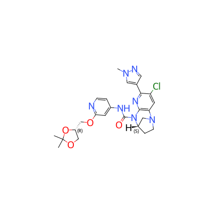 Cn1cc(-c2nc3c(cc2Cl)N2CC[C@@H](C2)N3C(=O)Nc2ccnc(OC[C@@H]3COC(C)(C)O3)c2)cn1